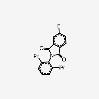 CC(C)c1cccc(C(C)C)c1N1C(=O)c2ccc(F)cc2C1=O